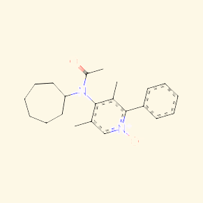 CC(=O)N(c1c(C)c[n+]([O-])c(-c2ccccc2)c1C)C1CCCCCC1